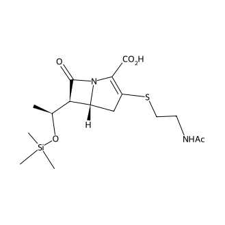 CC(=O)NCCSC1=C(C(=O)O)N2C(=O)[C@H]([C@H](C)O[Si](C)(C)C)[C@H]2C1